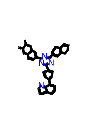 CC1Cc2ccc(-c3nc(-c4ccc(-c5cccc6cccnc56)cc4)nc(-c4ccc5c(c4)CCC=C5)n3)cc2CC1C